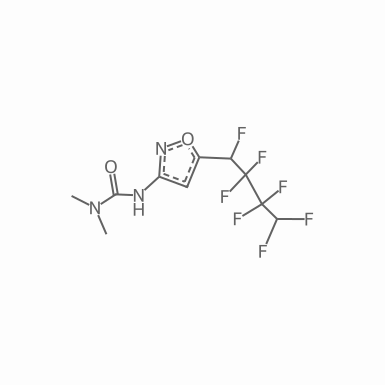 CN(C)C(=O)Nc1cc(C(F)C(F)(F)C(F)(F)C(F)F)on1